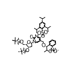 CC(C)c1cc(C(C)C)c(S(=O)(=O)Oc2nc(=O)n([C@H]3C[C@@H](O[Si](C)(C)C(C)(C)C)[C@@H](CO[Si](C)(C)C(C)(C)C)O3)cc2CO[C@H](c2ccccc2[N+](=O)[O-])C(C)C)c(C(C)C)c1